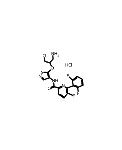 Cl.NCC(CCl)Oc1sncc1NC(=O)c1ccc(F)c(-c2c(F)cccc2F)n1